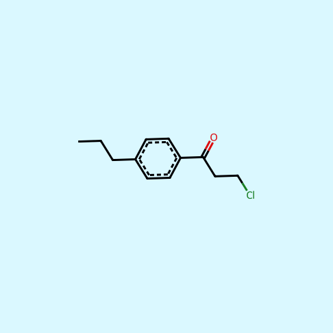 CCCc1ccc(C(=O)CCCl)cc1